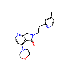 Cc1ccnc(CCN2Cc3nccc(N4CCOCC4)c3C2=O)c1